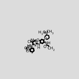 C=CC(=O)Nc1cc(Nc2ncc(Cl)c(Nc3ccccc3P(C)(C)=O)n2)c(OC)cc1N1CCCC(N(C)C)C1